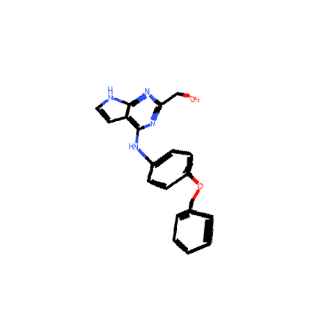 OCc1nc(Nc2ccc(Oc3ccccc3)cc2)c2cc[nH]c2n1